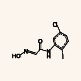 O=C(C=NO)Nc1cc(Cl)ccc1I